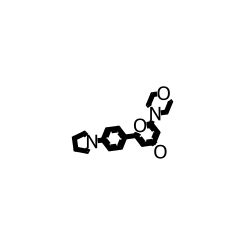 O=c1cc(-c2ccc(N3CCCC3)cc2)oc(N2CCOCC2)c1